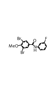 COc1c(Br)cc(C(=O)Nc2cccc(F)c2)cc1Br